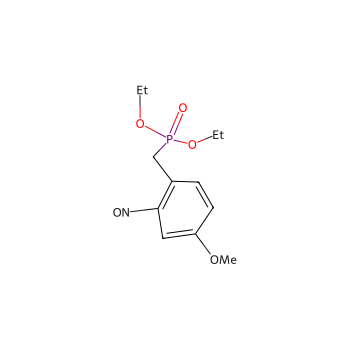 CCOP(=O)(Cc1ccc(OC)cc1N=O)OCC